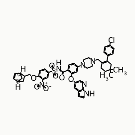 CC1(C)CCC(CN2CCN(c3ccc(C(=O)NS(=O)(=O)c4ccc(OCC5C[C@@H]6C=C[C@@H]5C6)c([N+](=O)[O-])c4)c(Oc4cnc5[nH]ccc5c4)c3)CC2)=C(c2ccc(Cl)cc2)C1